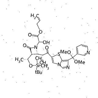 C=CCOC(=O)C(O)N1C(=O)[C@H]([C@@H](C)O[Si](C)(C)C(C)(C)C)[C@H]1[C@@H](C)C(=O)c1cn2cnc(C(OC)(OC)c3cccnc3)c2s1